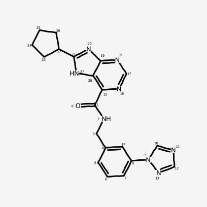 O=C(NCc1cccc(-n2cncn2)c1)c1ncnc2nc(C3CCCC3)[nH]c12